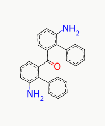 Nc1cccc(C(=O)c2cccc(N)c2-c2ccccc2)c1-c1ccccc1